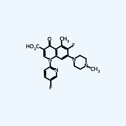 Cc1c(F)c(N2CCN(C)CC2)cc2c1c(=O)c(C(=O)O)cn2-c1ccc(F)cn1